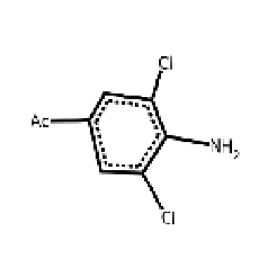 CC(=O)c1cc(Cl)c(N)c(Cl)c1